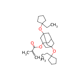 C=C(C)C(=O)OC12CC3CC(OC4(CC)CCCC4)(C1)CC(OC1(CC)CCCC1)(C3)C2